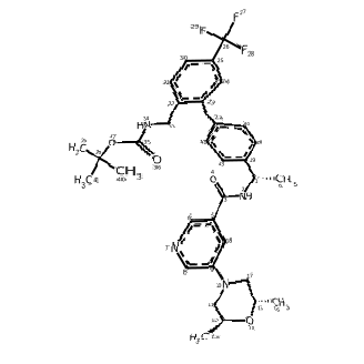 C[C@H](NC(=O)c1cncc(N2C[C@H](C)O[C@@H](C)C2)c1)c1ccc(-c2cc(C(F)(F)F)ccc2CNC(=O)OC(C)(C)C)cc1